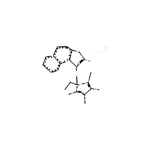 CC[C]1([Zr+2][C]2=C(C)Cc3ccc4ccccc4c32)C(C)=C(C)C(C)=C1C.[Cl-].[Cl-].[Zr+4]